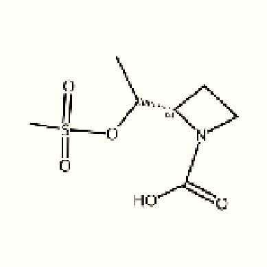 CC(OS(C)(=O)=O)[C@@H]1CCN1C(=O)O